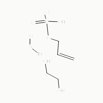 C=CCOP(=O)(O)O.CCOCC.OCCO